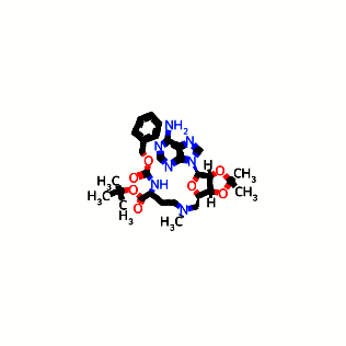 CN(CCC(NC(=O)OCc1ccccc1)C(=O)OC(C)(C)C)C[C@H]1O[C@@H](n2cnc3c(N)ncnc32)[C@@H]2OC(C)(C)O[C@@H]21